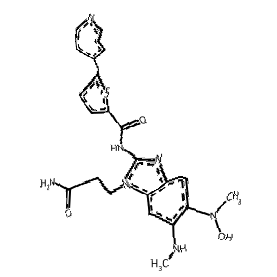 CNc1cc2c(cc1N(C)O)nc(NC(=O)c1ccc(-c3ccncc3)s1)n2CCC(N)=O